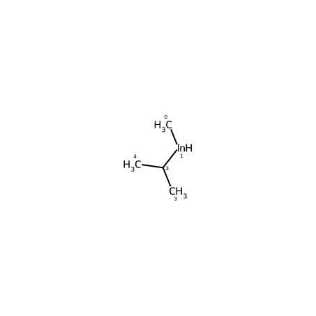 [CH3][InH][CH](C)C